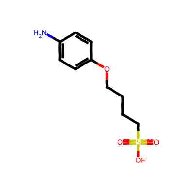 Nc1ccc(OCCCCS(=O)(=O)O)cc1